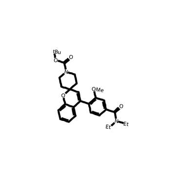 CCN(CC)C(=O)c1ccc(C2=CC3(CCN(C(=O)OC(C)(C)C)CC3)Oc3ccccc32)c(OC)c1